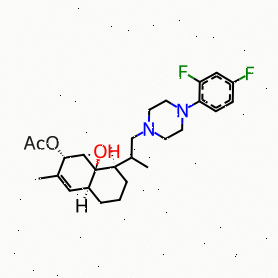 CC(=O)O[C@@H]1[CH][C@@]2(O)[C@H](C=C1C)CCC[C@]2(C)C(C)CN1CCN(c2ccc(F)cc2F)CC1